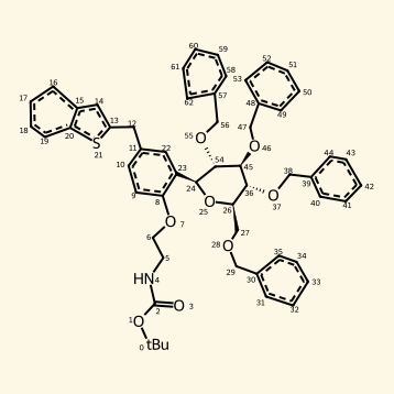 CC(C)(C)OC(=O)NCCOc1ccc(Cc2cc3ccccc3s2)cc1[C@@H]1O[C@H](COCc2ccccc2)[C@@H](OCc2ccccc2)[C@H](OCc2ccccc2)[C@H]1OCc1ccccc1